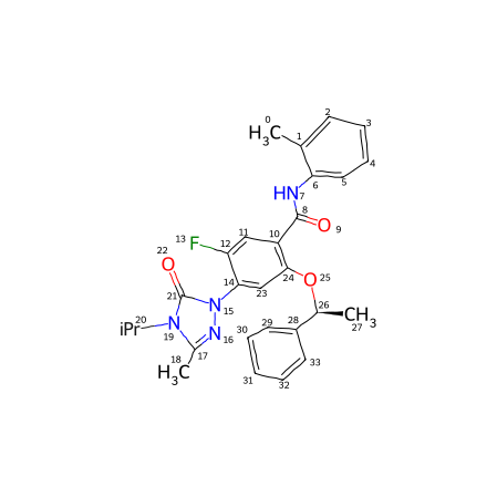 Cc1ccccc1NC(=O)c1cc(F)c(-n2nc(C)n(C(C)C)c2=O)cc1O[C@@H](C)c1ccccc1